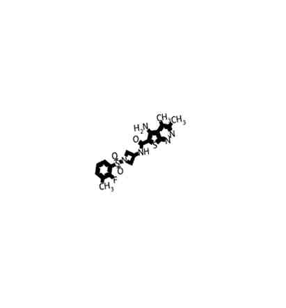 Cc1cccc(S(=O)(=O)N2CC(NC(=O)c3sc4nnc(C)c(C)c4c3N)C2)c1F